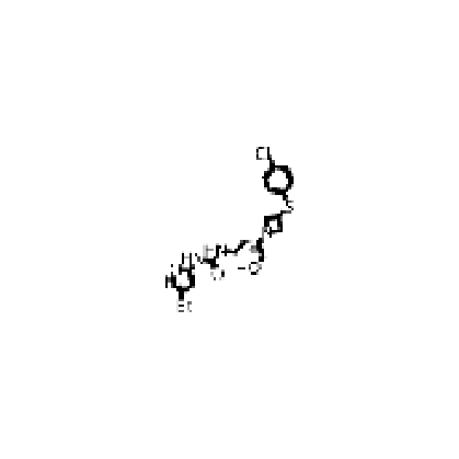 CCc1cc(NC(=O)NCC[C@@H](CO)N2CC(Sc3ccc(Cl)cc3)C2)on1